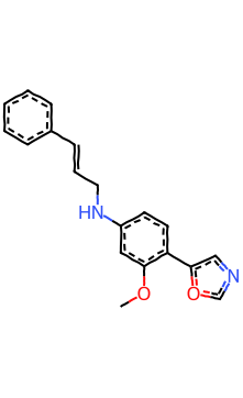 COc1cc(NC/C=C/c2ccccc2)ccc1-c1cnco1